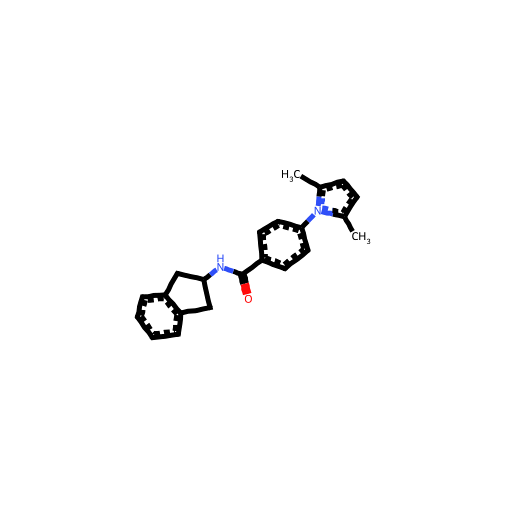 Cc1ccc(C)n1-c1ccc(C(=O)NC2Cc3ccccc3C2)cc1